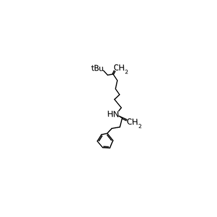 C=C(CCCCCNC(=C)CCc1ccccc1)CC(C)(C)C